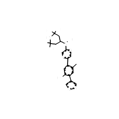 Cc1cc(-c2cnc(N(C)C3CC(C)(C)NC(C)(C)C3)cn2)c(F)cc1-c1cn[nH]c1